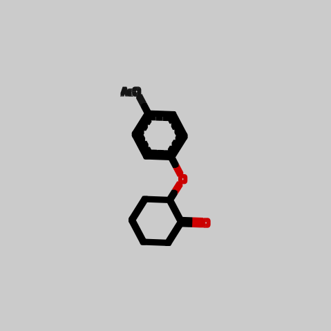 CC(=O)Oc1ccc(OC2CCCCC2=O)cc1